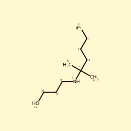 CC(C)CCCC(C)(C)NCC[CH]O